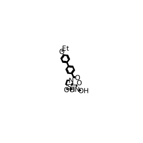 CCOc1ccc(-c2ccc(C(=O)N3CCS(=O)(=O)[C@H]3C(=O)NO)cc2)cc1